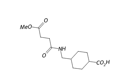 COC(=O)CCC(=O)NCC1CCC(C(=O)O)CC1